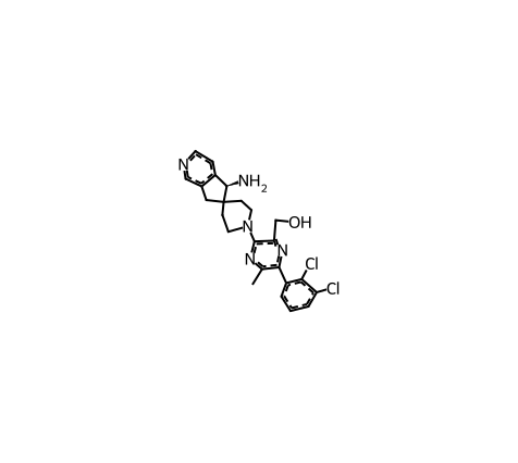 Cc1nc(N2CCC3(CC2)Cc2cnccc2[C@H]3N)c(CO)nc1-c1cccc(Cl)c1Cl